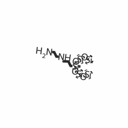 C[Si](C)(C)O[Si](C)(C)O[Si](C)(CCCNCCN)O[Si](C)(C)O[Si](C)(C)C